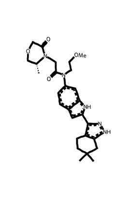 COCCN(C(=O)CN1C(=O)COC[C@H]1C)c1ccc2cc(-c3n[nH]c4c3CCC(C)(C)C4)[nH]c2c1